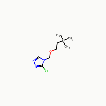 C[Si](C)(C)CCOCn1cnnc1Cl